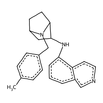 Cc1ccc(CN2C3CCC2C(Nc2cccc4cnccc24)C3)cc1